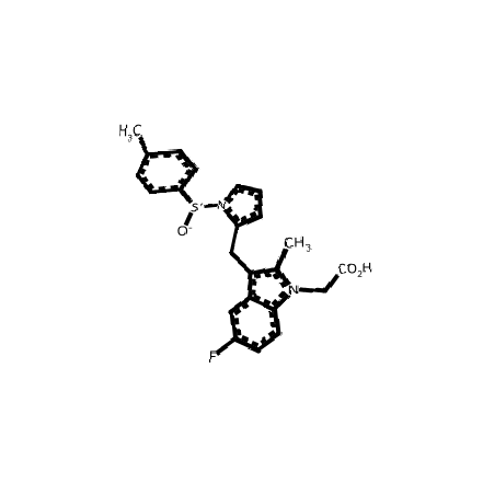 Cc1ccc([S+]([O-])n2cccc2Cc2c(C)n(CC(=O)O)c3ccc(F)cc23)cc1